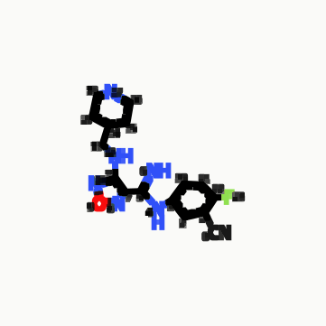 N#Cc1cc(NC(=N)c2nonc2NCc2ccncc2)ccc1F